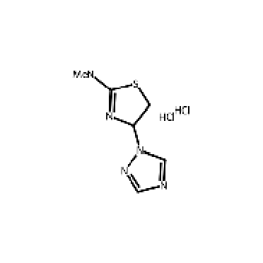 CNC1=NC(n2cncn2)CS1.Cl.Cl